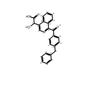 CC(C(=O)O)c1cnc(C(=O)c2ccc(Cc3ccccc3)cc2)c2ccccc12